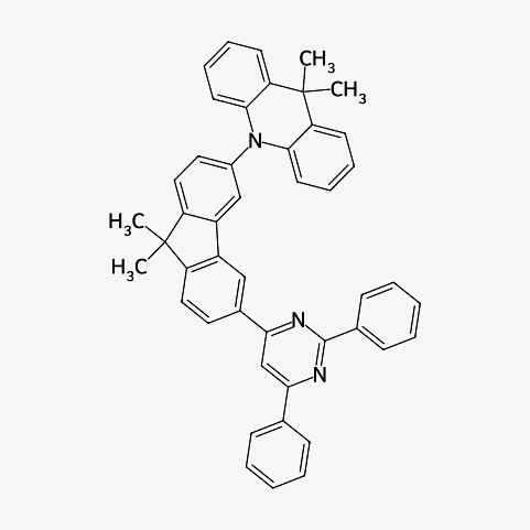 CC1(C)c2ccc(-c3cc(-c4ccccc4)nc(-c4ccccc4)n3)cc2-c2cc(N3c4ccccc4C(C)(C)c4ccccc43)ccc21